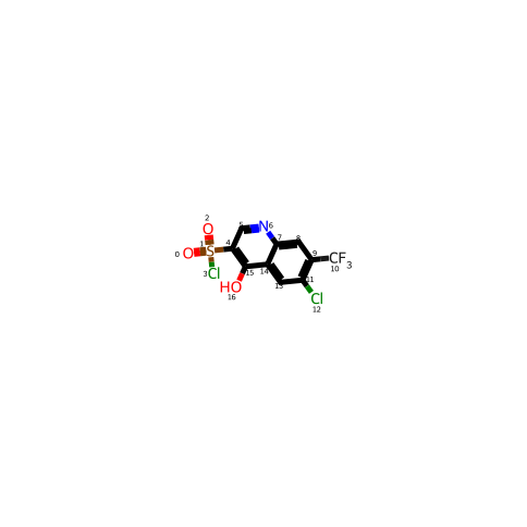 O=S(=O)(Cl)c1cnc2cc(C(F)(F)F)c(Cl)cc2c1O